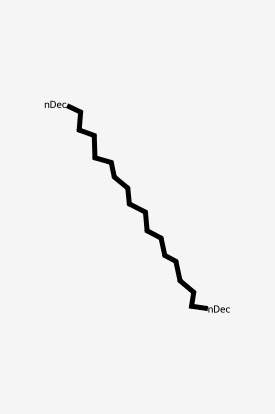 [CH2]CCCCCCCCCCCCCCCCCCCCCCCCCCCCCCCCCCC